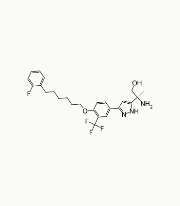 C[C@@](N)(CO)c1cc(-c2ccc(OCCCCCCc3ccccc3F)c(C(F)(F)F)c2)n[nH]1